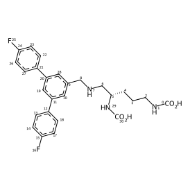 O=C(O)NCCC[C@@H](CNCc1cc(-c2ccc(F)cc2)cc(-c2ccc(F)cc2)c1)NC(=O)O